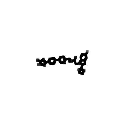 O=C(Cn1c(-c2ncco2)cc2cc(F)ccc21)NCc1ccc(-c2ccc(-c3n[nH]c(=O)s3)cc2)cn1